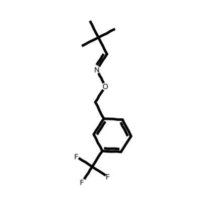 CC(C)(C)C=NOCc1cccc(C(F)(F)F)c1